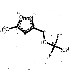 Cc1cc(COC(C)(F)F)no1